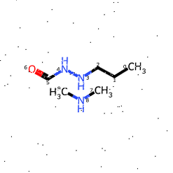 CCCNNC=O.CNC